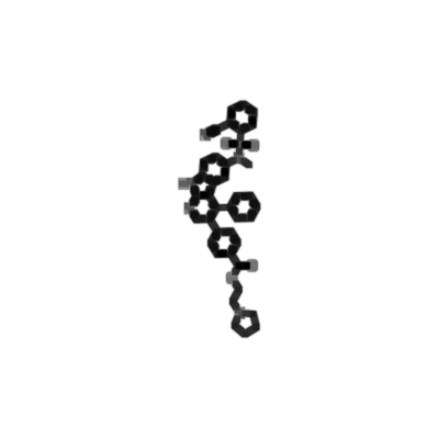 CN(c1ccc2[nH]c3ncc(-c4ccc(C(=O)OCCN5CCCC5)cc4)c(-c4ccccc4)c3c2c1)S(=O)(=O)c1ccccc1C#N